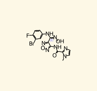 Cn1ccnc1C(=O)Nc1nonc1/C(=N\O)Nc1ccc(F)c(Br)c1